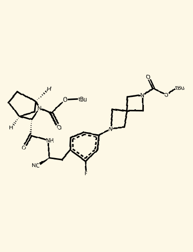 CC(C)(C)OC(=O)N1CC2(C1)CN(c1ccc(C[C@@H](C#N)NC(=O)[C@@H]3[C@H]4CC[C@H](C4)N3C(=O)OC(C)(C)C)c(F)c1)C2